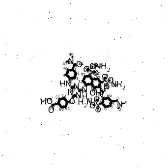 CN(C)Cc1ccc(S(=O)(=O)ON)c(N=Nc2c(S(=O)(=O)ON)cc3c(S(=O)(=O)ON)ccc(Nc4nc(Nc5ccc(C(=O)N(C)C)cc5)nc(Oc5ccc(C(=O)O)cc5)n4)c3c2O)c1